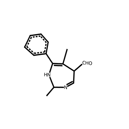 CC1=C(c2ccccc2)NC(C)N=CC1C=O